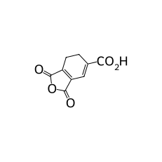 O=C(O)C1=CC2=C(CC1)C(=O)OC2=O